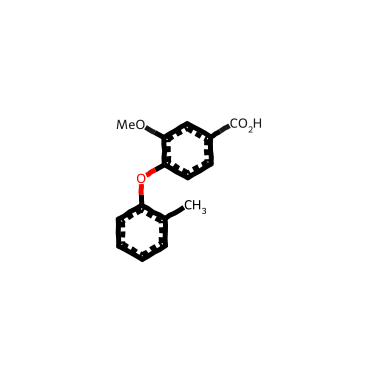 COc1cc(C(=O)O)ccc1Oc1ccccc1C